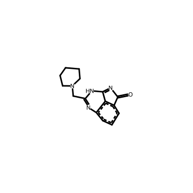 O=C1N=C2NC(CN3CCCCC3)=Nc3cccc1c32